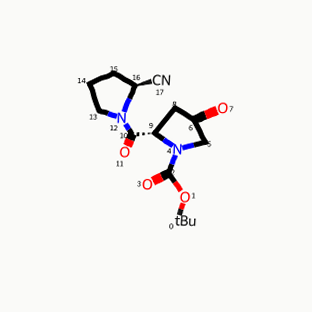 CC(C)(C)OC(=O)N1CC(=O)C[C@H]1C(=O)N1CCC[C@H]1C#N